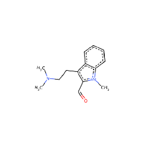 CN(C)CCc1c(C=O)n(C)c2ccccc12